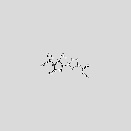 C=CC(=O)N1CCC(n2nc(Br)c(C(N)=O)c2N)C1